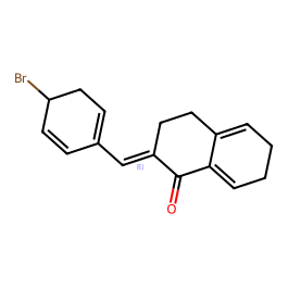 O=C1C2=CCCC=C2CC/C1=C\C1=CCC(Br)C=C1